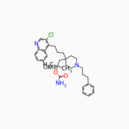 COc1ccc2ncc(Cl)c(CCCC3(CC(C)(C)OC(N)=O)CCN(CCCc4ccccc4)CC3)c2c1